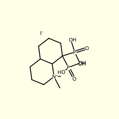 C[N+]1(C)CCCC2CCCC(P(=O)(O)O)(P(=O)(O)O)C21.[I-]